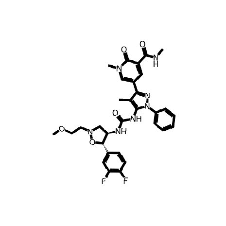 CNC(=O)c1cc(-c2nn(-c3ccccc3)c(NC(=O)N[C@@H]3CN(CCOC)O[C@H]3c3ccc(F)c(F)c3)c2C)cn(C)c1=O